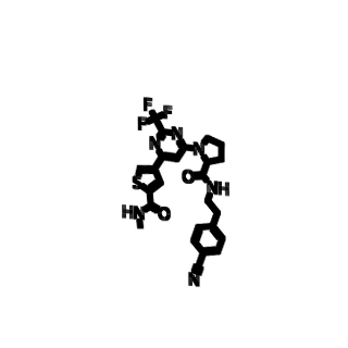 CNC(=O)c1cc(-c2cc(N3CCCC3C(=O)NCCc3ccc(C#N)cc3)nc(C(F)(F)F)n2)cs1